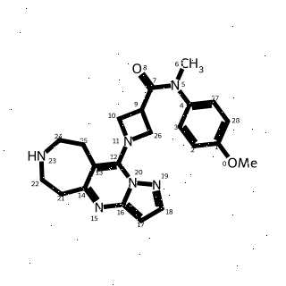 COc1ccc(N(C)C(=O)C2CN(c3c4c(nc5ccnn35)CCNCC4)C2)cc1